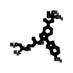 CC[C@H](C)NCCC(=O)Nc1sc2c(c1-c1nc3cc(C)ccc3s1)CCN(C(=O)OC(C)(C)C)C2